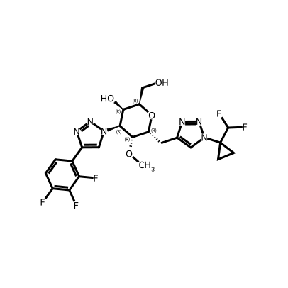 CO[C@@H]1[C@@H](n2cc(-c3ccc(F)c(F)c3F)nn2)[C@@H](O)[C@@H](CO)O[C@@H]1Cc1cn(C2(C(F)F)CC2)nn1